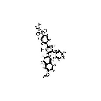 CNS(=O)(=O)c1ccc(-c2nc(-c3ccncc3)c(-c3ccc4cc(OC)ccc4c3)[nH]2)cc1